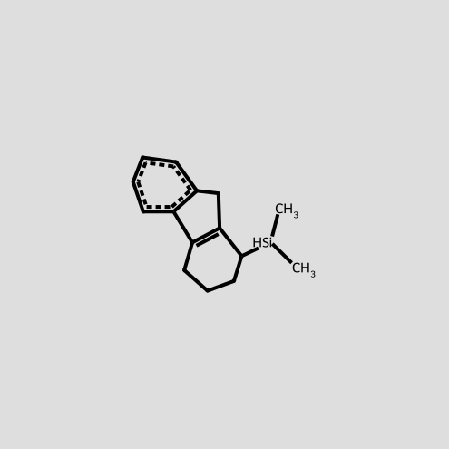 C[SiH](C)C1CCCC2=C1Cc1ccccc12